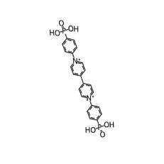 O=P(O)(O)c1ccc(-[n+]2ccc(-c3cc[n+](-c4ccc(P(=O)(O)O)cc4)cc3)cc2)cc1